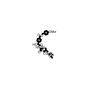 COc1ccc(COC(=O)c2ccc(C(O)C(=O)NC3C(=O)N4C(C(=O)O)=C(CSc5nnc(C)s5)CS[C@@H]34)cc2)cc1